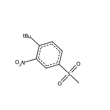 CC(C)(C)c1ccc(S(C)(=O)=O)cc1[N+](=O)[O-]